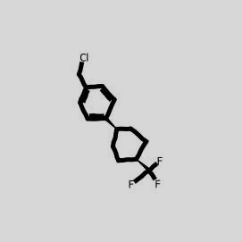 FC(F)(F)[C@H]1CC[C@@H](c2ccc(CCl)cc2)CC1